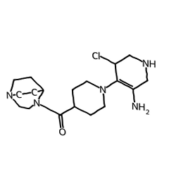 NC1=C(N2CCC(C(=O)N3CCN4CCC3CC4)CC2)C(Cl)CNC1